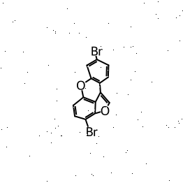 Brc1ccc2c(c1)Oc1ccc(Br)c3occ-2c13